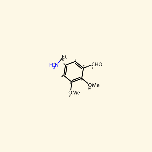 CCN.COc1cccc(C=O)c1OC